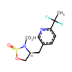 CC(F)(F)c1ccc(C[C@H]2COS(=O)N2C(=O)O)cn1